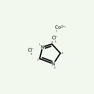 C1=NC=NC1.[Cl-].[Cl-].[Co+2]